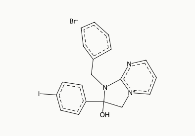 OC1(c2ccc(I)cc2)C[n+]2cccnc2N1Cc1ccccc1.[Br-]